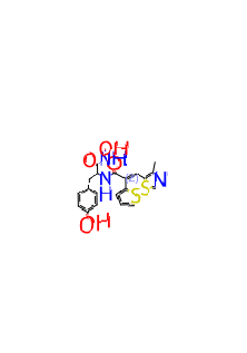 Cc1ncsc1/C=C(/C(=O)NC(Cc1ccc(O)cc1)C(=O)NO)c1cccs1